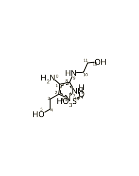 Nc1c(CCO)n[nH]c1NCCO.O=S(=O)(O)O